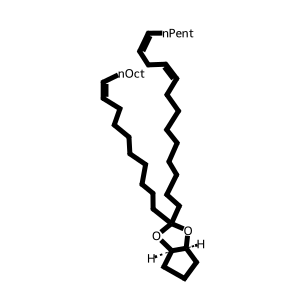 CCCCC/C=C\C/C=C\CCCCCCCCC1(CCCCCCCC/C=C\CCCCCCCC)O[C@H]2CCC[C@H]2O1